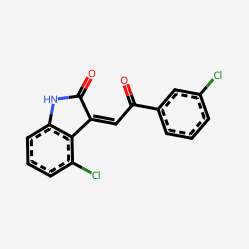 O=C1Nc2cccc(Cl)c2C1=CC(=O)c1cccc(Cl)c1